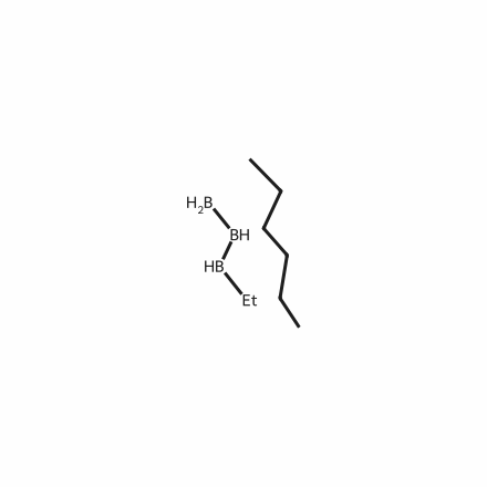 BBBCC.CCCCCC